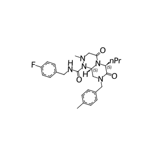 CCC[C@H]1C(=O)N(Cc2ccc(C)cc2)C[C@H]2N1C(=O)CN(C)N2C(=O)NCc1ccc(F)cc1